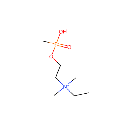 CC[N+](C)(C)CCOP(C)(=O)O